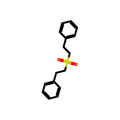 O=S(=O)(CCc1ccccc1)CCc1ccccc1